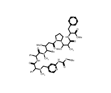 CCC(C)C(C(CC(=O)N1CCC[C@H]1C(OC)C(C)C(=O)NC(Cc1ccccc1)C(=O)OC)OC)N(C)C(=O)C(NC(=O)C(C(C)C)N(C)Cc1ccnc(NC(=O)OC(C)(C)C)c1)C(C)C